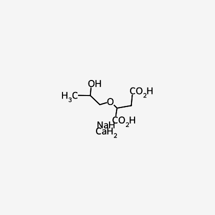 CC(O)COC(CC(=O)O)C(=O)O.[CaH2].[NaH]